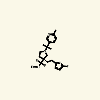 CCOC(F)(F)[C@]1(CCc2ccc(F)s2)CCN(C(C)(C)c2ccc(C)nc2)C1